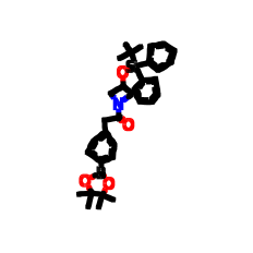 CC1(C)OB(c2ccc(CC(=O)N3CC(O[Si](c4ccccc4)(c4ccccc4)C(C)(C)C)C3)cc2)OC1(C)C